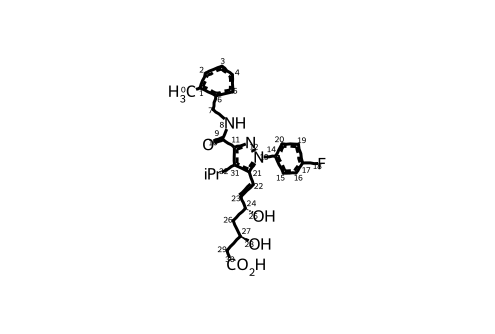 Cc1ccccc1CNC(=O)c1nn(-c2ccc(F)cc2)c(/C=C/[C@H](O)C[C@@H](O)CC(=O)O)c1C(C)C